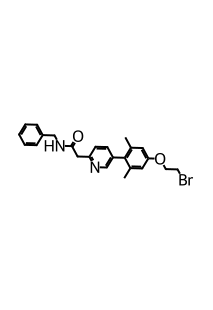 Cc1cc(OCCBr)cc(C)c1-c1ccc(CC(=O)NCc2ccccc2)nc1